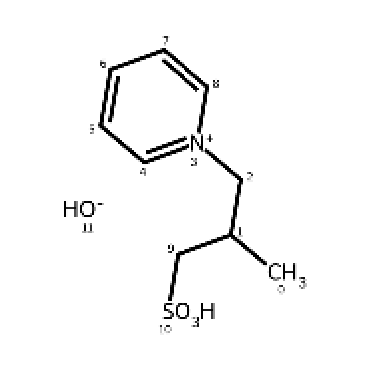 CC(C[n+]1ccccc1)CS(=O)(=O)O.[OH-]